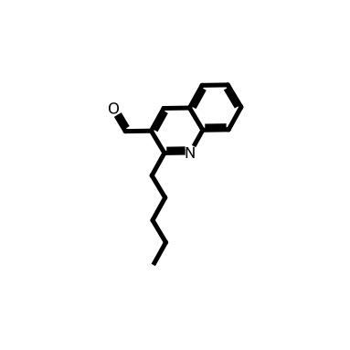 CCCCCc1nc2ccccc2cc1C=O